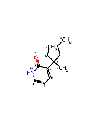 CCCC(C)(CC)c1ccc[nH]c1=O